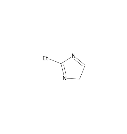 C[CH]C1=NCC=N1